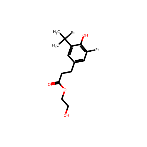 CCc1cc(CCC(=O)OCCO)cc(C(C)(C)CC)c1O